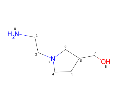 NCCN1CCC(CO)C1